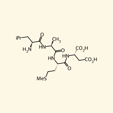 CSCC[C@H](NC(=O)[C@H](C)NC(=O)[C@@H](N)CC(C)C)C(=O)N[C@@H](CC(=O)O)C(=O)O